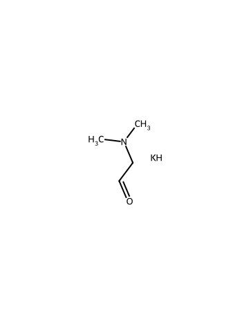 CN(C)CC=O.[KH]